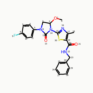 COC1CN(c2ccc(F)cc2)C(=O)N1c1nc(C)c(C(=O)NCc2ccccc2)s1